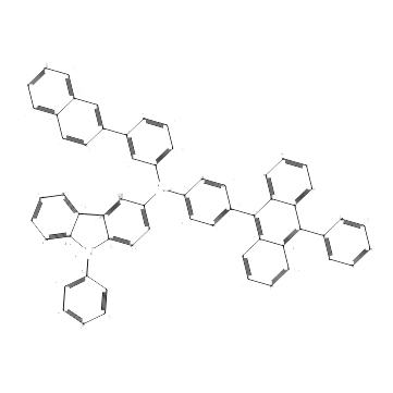 c1ccc(-c2c3ccccc3c(-c3ccc(N(c4cccc(-c5ccc6ccccc6c5)c4)c4ccc5c(c4)c4ccccc4n5-c4ccccc4)cc3)c3ccccc23)cc1